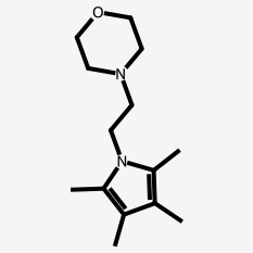 Cc1c(C)c(C)n(CCN2CCOCC2)c1C